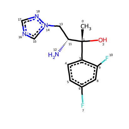 C[C@@](O)(c1ccc(F)cc1F)[C@H](N)Cn1cncn1